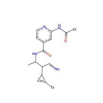 CCC(=O)Nc1cc(C(=O)NC(C)C(C=N)C2C=C2CC)ccn1